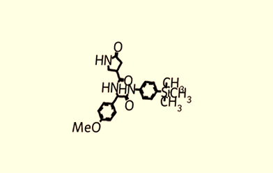 COc1ccc(C(NC(=O)C2CNC(=O)C2)C(=O)Nc2ccc([Si](C)(C)C)cc2)cc1